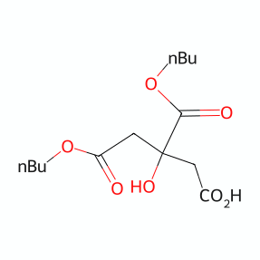 CCCCOC(=O)CC(O)(CC(=O)O)C(=O)OCCCC